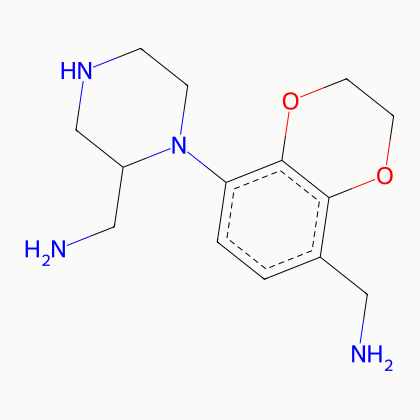 NCc1ccc(N2CCNCC2CN)c2c1OCCO2